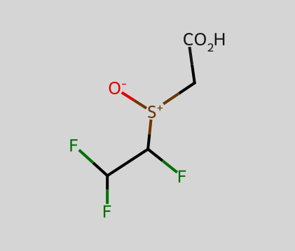 O=C(O)C[S+]([O-])C(F)C(F)F